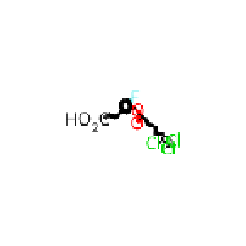 O=C(O)C=Cc1ccc(F)c(OC(=O)CCCCC[Si](Cl)(Cl)Cl)c1